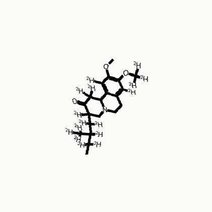 [2H]c1c2c(c([2H])c(OC)c1OC([2H])([2H])[2H])C1N(CC2)CC([2H])(C([2H])([2H])C([2H])(C([2H])([2H])[2H])C([2H])([2H])C)C(=O)C1([2H])[2H]